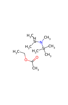 CCOC(C)=O.CN([SiH](C)C)[Si](C)(C)C